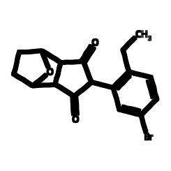 CCc1ccc(Br)cc1C1C(=O)C2C3CCC(O3)C2C1=O